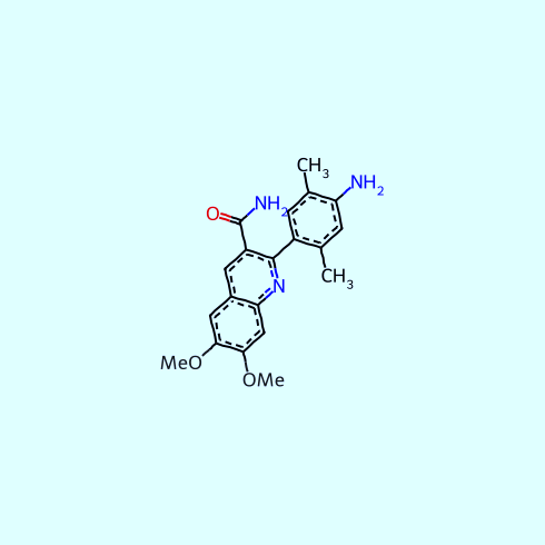 COc1cc2cc(C(N)=O)c(-c3cc(C)c(N)cc3C)nc2cc1OC